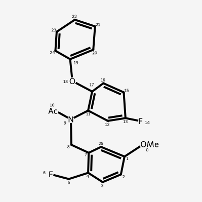 COc1ccc(CF)c(CN(C(C)=O)c2cc(F)ccc2Oc2ccccc2)c1